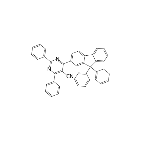 N#Cc1c(-c2ccccc2)nc(-c2ccccc2)nc1-c1ccc2c(c1)C(C1=CC=CCC1)(c1ccccc1)c1ccccc1-2